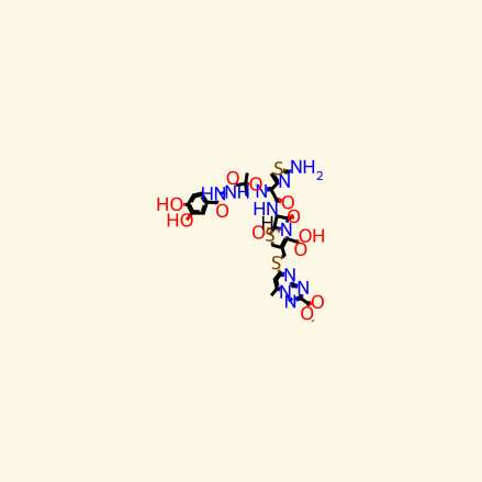 COC(=O)c1nc2nc(SCC3=C(C(=O)O)N4C(=O)[C@@H](NC(=O)C(=NOC(C)(C)C(=O)NNC(=O)c5ccc(O)c(O)c5)c5csc(N)n5)[C@H]4[S+]([O-])C3)cc(C)n2n1